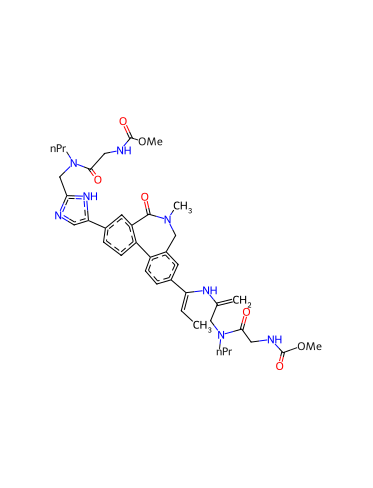 C=C(CN(CCC)C(=O)CNC(=O)OC)N/C(=C\C)c1ccc2c(c1)CN(C)C(=O)c1cc(-c3cnc(CN(CCC)C(=O)CNC(=O)OC)[nH]3)ccc1-2